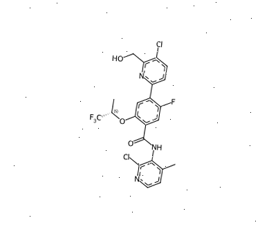 Cc1ccnc(Cl)c1NC(=O)c1cc(F)c(-c2ccc(Cl)c(CO)n2)cc1O[C@@H](C)C(F)(F)F